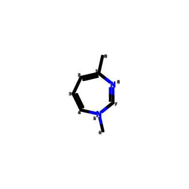 CC1=CC=CN(C)C=N1